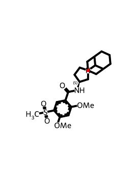 COc1cc(OC)c(S(C)(=O)=O)cc1C(=O)N[C@H]1CCN(C2C3CCCC2CCC3)C1